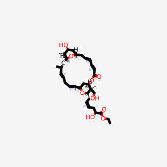 CCOC(=O)C(O)C/C=C\C[C@@H]1O[C@@H]2/C=C/C/C=C/C(C)C[C@H]3O[C@@H](C/C=C/C=C/C(=O)O[C@H](C2)[C@@]1(C)CO)C[C@H](O)[C@H]3C